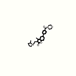 Cc1c(CCN2CCCC2C)c(=O)oc2ccc(-c3ccc(C(=O)N4CCOCC4)cc3)cc12